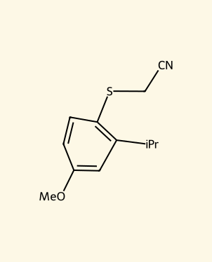 COc1ccc(SCC#N)c(C(C)C)c1